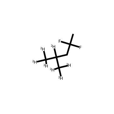 [2H]C([2H])([2H])C([2H])(CC(C)(F)F)C([2H])([2H])[2H]